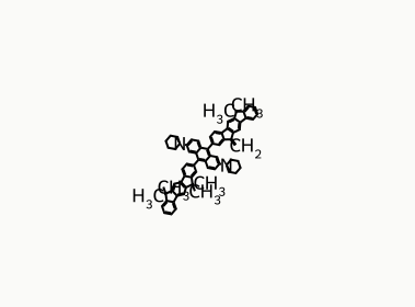 C=C1c2cc(-c3c4ccc(N5CCCCC5)cc4c(-c4ccc5c(c4)C(C)(C)c4cc6c(cc4-5)C(C)(C)c4ccccc4-6)c4ccc(N5CCCCC5)cc34)ccc2-c2cc3c(cc21)-c1ccccc1C3(C)C